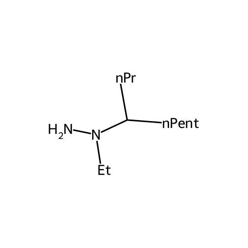 [CH2]CN(N)C(CCC)CCCCC